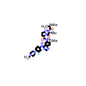 CN[C@@H](C)C(=O)N[C@H](C(=O)N1CCC[C@H]1C(=O)Nc1cc2c(Nc3ccc(N4CCN(C)CC4)c(F)c3)ncnc2cc1OC)C(C)(C)C